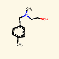 Cc1ccc(CN(C)CCO)cc1